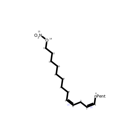 CCCCC/C=C\C/C=C\CCCCCCCCO[N+](=O)[O-]